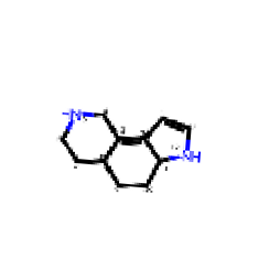 C1=CC2=C3CNCCC3CCC2N1